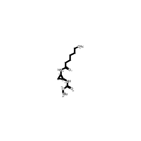 CC(=O)OCCCCCC(=O)NC1CC1NC(=O)OC(C)(C)C